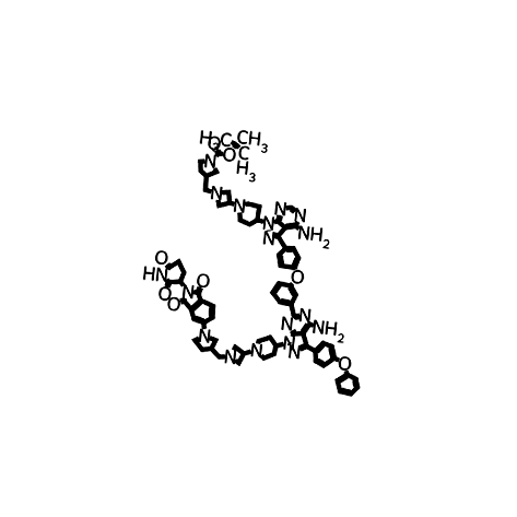 CC(C)(C)OC(=O)N1CCC(CN2CC(N3CCC(n4nc(-c5ccc(Oc6cccc(-c7nc(N)c8c(-c9ccc(Oc%10ccccc%10)cc9)nn(C9CCN(C%10CN(CC%11CCN(c%12ccc%13c(c%12)C(=O)N(C%12CCC(=O)NC%12=O)C%13=O)C%11)C%10)CC9)c8n7)c6)cc5)c5c(N)ncnc54)CC3)C2)C1